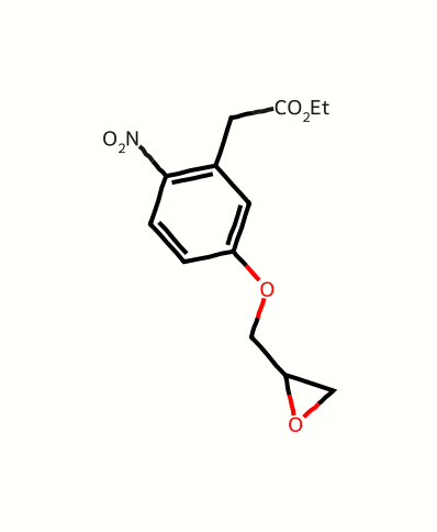 CCOC(=O)Cc1cc(OCC2CO2)ccc1[N+](=O)[O-]